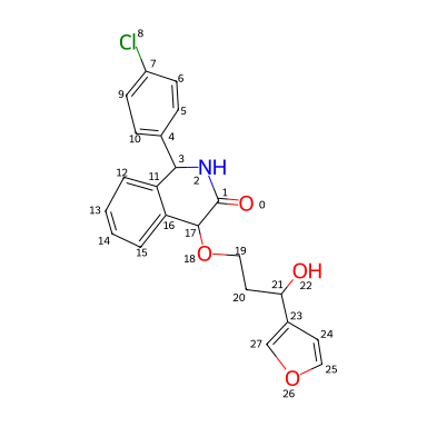 O=C1NC(c2ccc(Cl)cc2)c2ccccc2C1OCCC(O)c1ccoc1